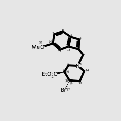 CCOC(=O)[C@H]1CN(CC2=Cc3ccc(OC)cc32)CC[C@@H]1Br